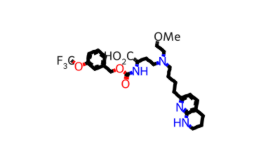 COCCN(CCCCc1ccc2c(n1)NCCC2)CCC(NC(=O)OCc1cccc(OC(F)(F)F)c1)C(=O)O